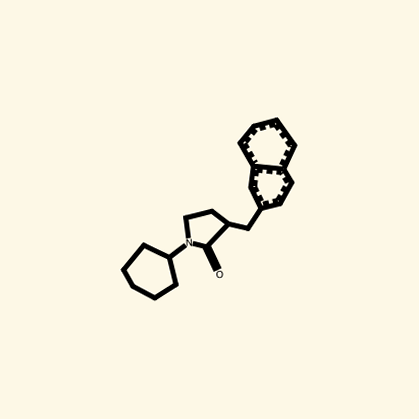 O=C1C(Cc2ccc3ccccc3c2)CCN1C1CCCCC1